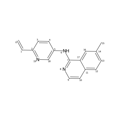 C=Cc1ccc(Nc2nccc3ccc(C)cc23)cn1